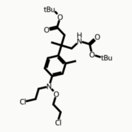 Cc1cc(N(CCCl)OCCCl)ccc1C(C)(CNC(=O)OC(C)(C)C)CC(=O)OC(C)(C)C